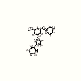 Clc1cc(Oc2cccnc2)cc(-n2ccc(-c3ccccn3)n2)c1